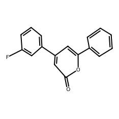 O=c1cc(-c2cccc(F)c2)cc(-c2ccccc2)o1